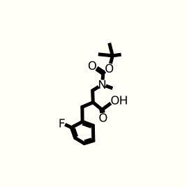 CN(CC(Cc1ccccc1F)C(=O)O)C(=O)OC(C)(C)C